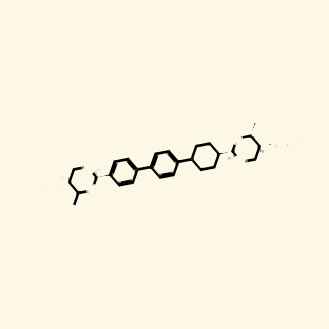 CCCCCCC[C@@H]1CO[C@@H](c2ccc(-c3ccc(C4CCC([C@@H]5OC[C@@H](CCCCCCC)[C@H](C)O5)CC4)cc3)cc2)OC1C